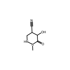 CN1NCC(C#N)C(O)C1=O